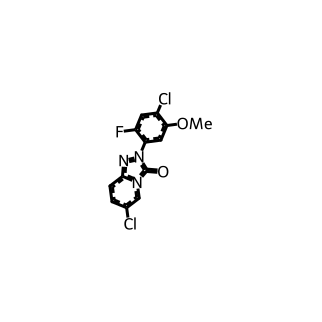 COc1cc(-n2nc3ccc(Cl)cn3c2=O)c(F)cc1Cl